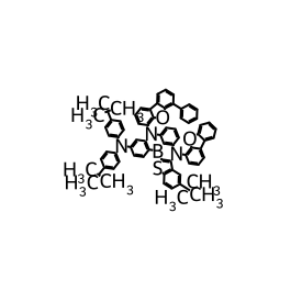 CC(C)(C)c1ccc(N(c2ccc(C(C)(C)C)cc2)c2ccc3c(c2)N(c2cccc4c2oc2c(-c5ccccc5)cccc24)c2cccc4c2B3c2sc3ccc(C(C)(C)C)cc3c2N4c2cccc3c2oc2ccccc23)cc1